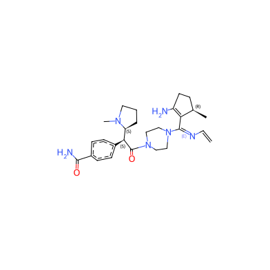 C=C/N=C(\C1=C(N)CC[C@H]1C)N1CCN(C(=O)[C@@H](c2ccc(C(N)=O)cc2)[C@@H]2CCCN2C)CC1